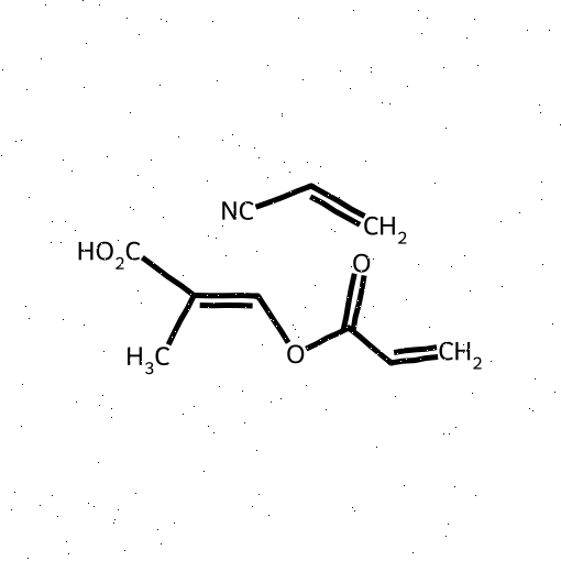 C=CC#N.C=CC(=O)OC=C(C)C(=O)O